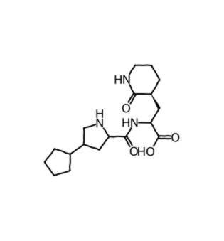 O=C(O)C(C[C@@H]1CCCNC1=O)NC(=O)C1CC(C2CCCC2)CN1